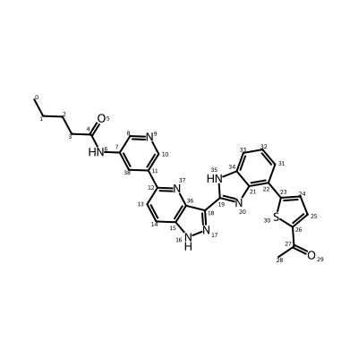 CCCCC(=O)Nc1cncc(-c2ccc3[nH]nc(-c4nc5c(-c6ccc(C(C)=O)s6)cccc5[nH]4)c3n2)c1